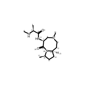 CN[C@@H](C)C(=O)N[C@H]1CN(C)CC[C@H]2CC[C@@H](C)N2C1=O